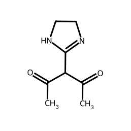 CC(=O)C(C(C)=O)C1=NCCN1